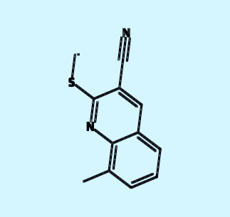 [CH2]Sc1nc2c(C)cccc2cc1C#N